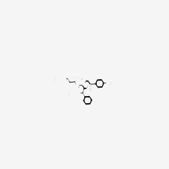 COc1ccc(-c2cnc(NC(=O)CC(C)C)c(C(O)c3ccccc3)n2)cc1